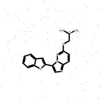 C[C@H](N)COc1ccc2ncc(-c3cc4ccccc4o3)n2n1